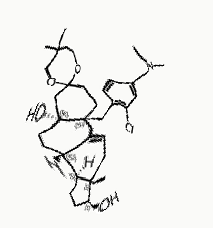 CN(C)c1ccc(C[C@]23CCC4(C[C@]2(O)CC[C@@H]2C3=CC[C@]3(C)[C@@H](O)CC[C@@H]23)OCC(C)(C)CO4)c(Cl)c1